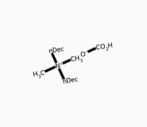 CCCCCCCCCC[N+](C)(C)CCCCCCCCCC.O=C([O-])O